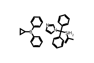 C=C(C)[SiH2]C(c1ccccc1)(c1ccccc1)n1ccnc1.c1ccc(B(c2ccccc2)C2CC2)cc1